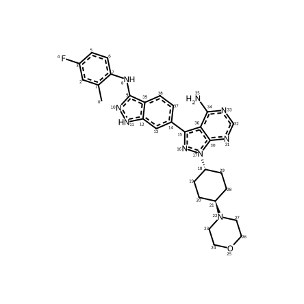 Cc1cc(F)ccc1Nc1n[nH]c2cc(-c3nn([C@H]4CC[C@H](N5CCOCC5)CC4)c4ncnc(N)c34)ccc12